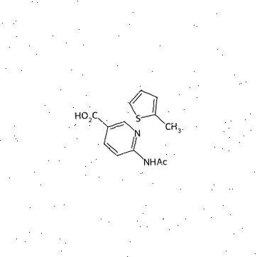 CC(=O)Nc1ccc(C(=O)O)cn1.Cc1cccs1